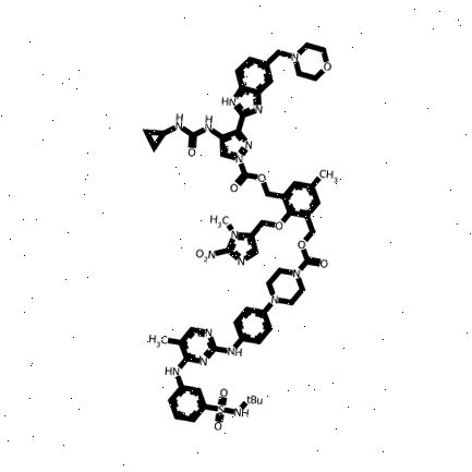 Cc1cc(COC(=O)N2CCN(c3ccc(Nc4ncc(C)c(Nc5cccc(S(=O)(=O)NC(C)(C)C)c5)n4)cc3)CC2)c(OCc2cnc([N+](=O)[O-])n2C)c(COC(=O)n2cc(NC(=O)NC3CC3)c(-c3nc4cc(CN5CCOCC5)ccc4[nH]3)n2)c1